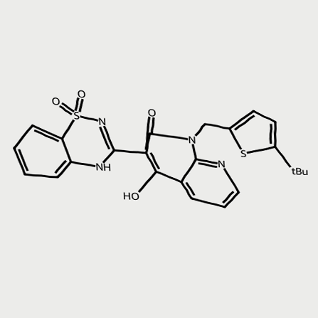 CC(C)(C)c1ccc(Cn2c(=O)c(C3=NS(=O)(=O)c4ccccc4N3)c(O)c3cccnc32)s1